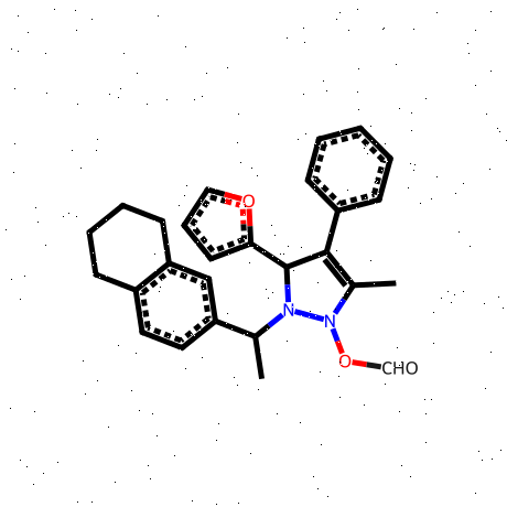 CC1=C(c2ccccc2)C(c2ccco2)N(C(C)c2ccc3c(c2)CCCC3)N1OC=O